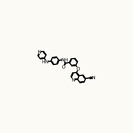 N#Cc1ccc2nccc(Oc3cccc(C(=O)Nc4ccc(Nc5ccncc5)cc4)c3)c2c1